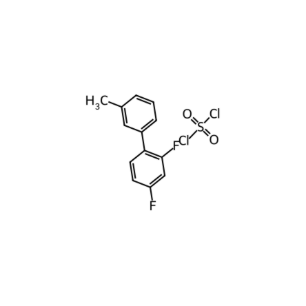 Cc1cccc(-c2ccc(F)cc2F)c1.O=S(=O)(Cl)Cl